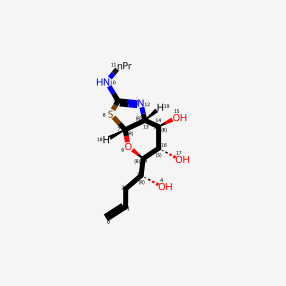 C=CC[C@@H](O)[C@H]1O[C@@H]2SC(NCCC)=N[C@@H]2[C@@H](O)[C@@H]1O